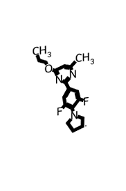 CCCOc1cc(C)nc(-c2cc(F)c(N3C[CH]CC3)c(F)c2)n1